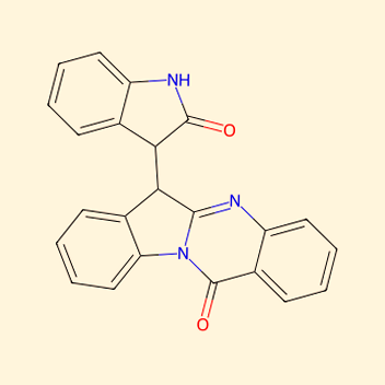 O=C1Nc2ccccc2C1C1c2ccccc2-n2c1nc1ccccc1c2=O